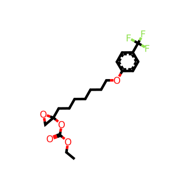 CCOC(=O)OC1(CCCCCCCOc2ccc(C(F)(F)F)cc2)CO1